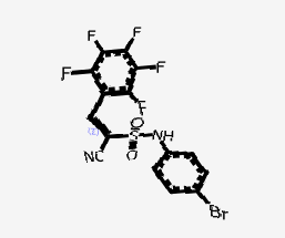 N#C/C(=C/c1c(F)c(F)c(F)c(F)c1F)S(=O)(=O)Nc1ccc(Br)cc1